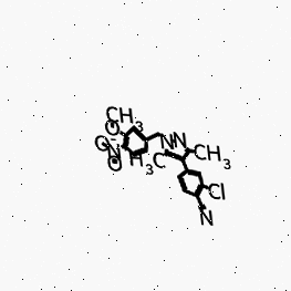 COc1cc(Cn2nc(C)c(-c3ccc(C#N)c(Cl)c3)c2C)ccc1[N+](=O)[O-]